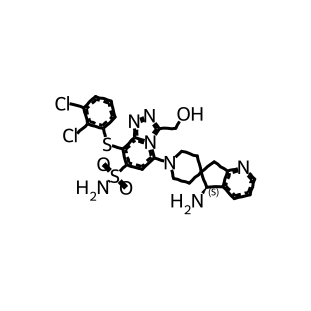 N[C@@H]1c2cccnc2CC12CCN(c1cc(S(N)(=O)=O)c(Sc3cccc(Cl)c3Cl)c3nnc(CO)n13)CC2